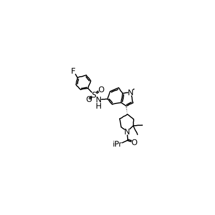 CC(C)C(=O)N1CC[C@H](c2cn(C)c3ccc(NS(=O)(=O)c4ccc(F)cc4)cc23)CC1(C)C